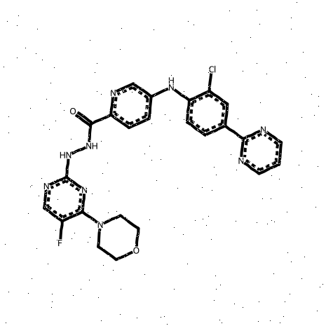 O=C(NNc1ncc(F)c(N2CCOCC2)n1)c1ccc(Nc2ccc(-c3ncccn3)cc2Cl)cn1